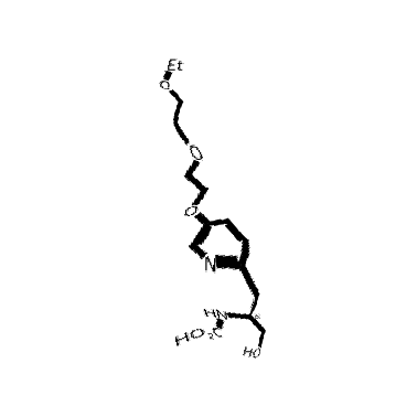 CCOCCOCCOc1ccc(C[C@@H](CO)NC(=O)O)nc1